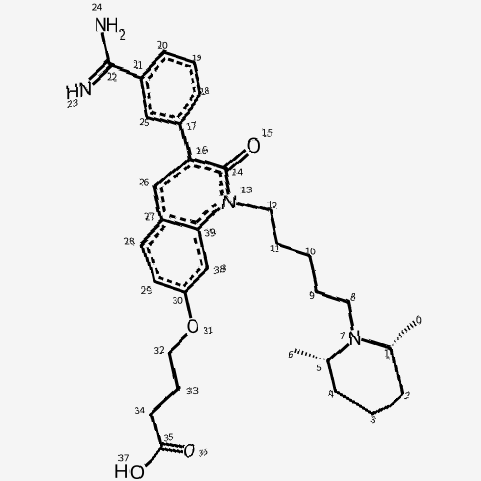 C[C@@H]1CCC[C@H](C)N1CCCCCn1c(=O)c(-c2cccc(C(=N)N)c2)cc2ccc(OCCCC(=O)O)cc21